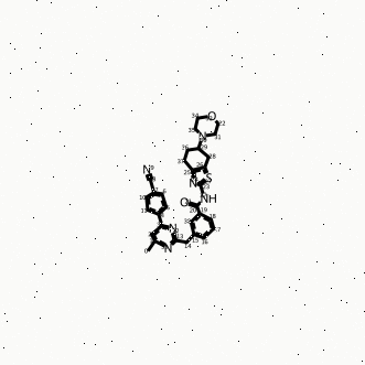 Cc1cc(-c2ccc(C#N)cc2)nc(Cc2cccc(C(=O)Nc3nc4c(s3)CC(N3CCOCC3)CC4)c2)n1